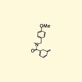 C=C1C=CC=C(C(=O)N(C)Cc2ccc(OC)cc2)C1